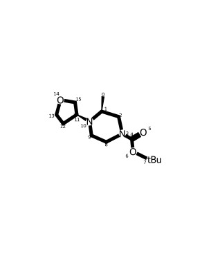 C[C@H]1CN(C(=O)OC(C)(C)C)CCN1[C@H]1CCOC1